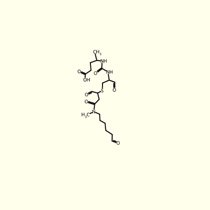 CC(CCC(=O)O)NC(=O)NC(C=O)CSC(C=O)CC(=O)N(C)CCCCCC=O